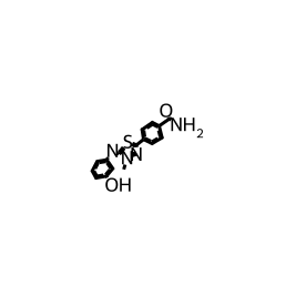 Cn1nc(-c2ccc(C(N)=O)cc2)s/c1=N/c1cccc(O)c1